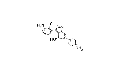 CC1(N)CCN(c2cc(O)c3c(-c4ccnc(N)c4Cl)n[nH]c3n2)CC1